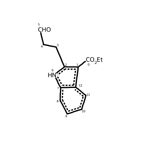 CCOC(=O)c1c(CCC=O)[nH]c2ccccc12